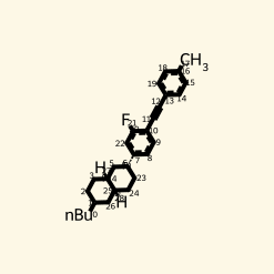 CCCCC1CC[C@@H]2C[C@H](c3ccc(C#Cc4ccc(C)cc4)c(F)c3)CC[C@@H]2C1